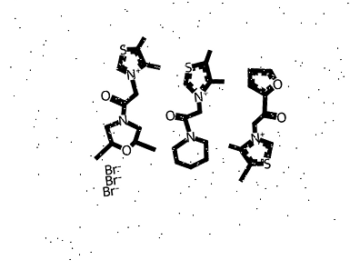 Cc1sc[n+](CC(=O)N2CC(C)OC(C)C2)c1C.Cc1sc[n+](CC(=O)N2CCCCC2)c1C.Cc1sc[n+](CC(=O)c2ccco2)c1C.[Br-].[Br-].[Br-]